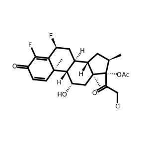 CC(=O)O[C@@]1(C(=O)CCl)[C@H](C)C[C@H]2[C@@H]3C[C@H](F)C4=C(F)C(=O)C=C[C@]4(C)[C@H]3[C@@H](O)C[C@@]21C